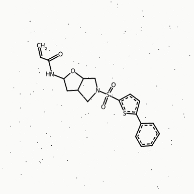 C=CC(=O)NC1CC2CN(S(=O)(=O)c3ccc(-c4ccccc4)s3)CC2O1